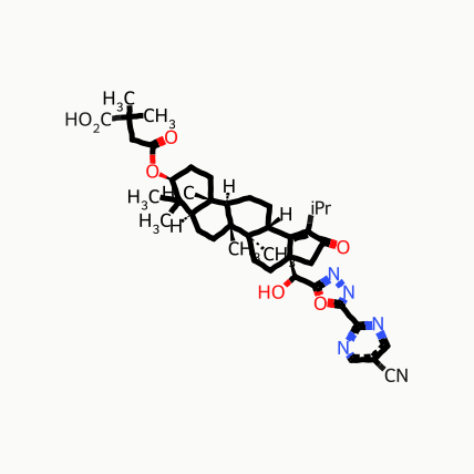 CC(C)C1=C2[C@H]3CC[C@@H]4[C@@]5(C)CC[C@H](OC(=O)CC(C)(C)C(=O)O)C(C)(C)[C@@H]5CC[C@@]4(C)[C@]3(C)CC[C@@]2(C(O)c2nnc(-c3ncc(C#N)cn3)o2)CC1=O